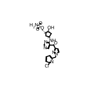 NS(=O)(=O)OC[C@H]1C[C@@H](Nc2ncncc2C(=O)c2ccn(Cc3cccc(Cl)n3)n2)C[C@@H]1O